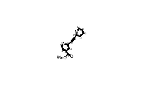 COC(=O)c1ccnc(C#Cc2ccccn2)c1